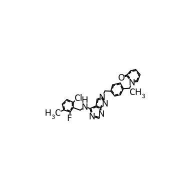 Cc1ccc(Cl)c(CNc2ncnc3nn(Cc4ccc(C(C)n5ccccc5=O)cc4)cc23)c1F